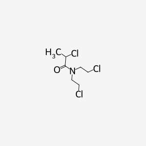 CC(Cl)C(=O)N(CCCl)CCCl